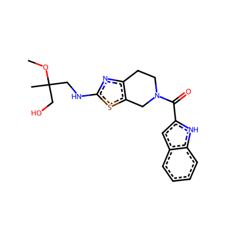 COC(C)(CO)CNc1nc2c(s1)CN(C(=O)c1cc3ccccc3[nH]1)CC2